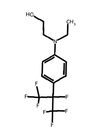 CCN(CCO)c1ccc(C(F)(C(F)(F)F)C(F)(F)F)cc1